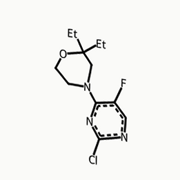 CCC1(CC)CN(c2nc(Cl)ncc2F)CCO1